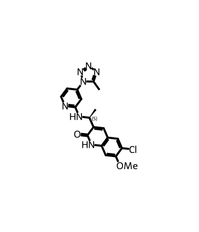 COc1cc2[nH]c(=O)c([C@H](C)Nc3cc(-n4nnnc4C)ccn3)cc2cc1Cl